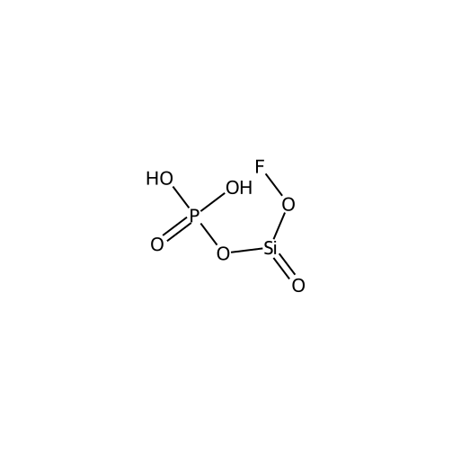 O=[Si](OF)OP(=O)(O)O